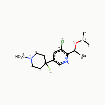 C[SiH](C)OC(c1ncc(C2(F)CCN(C(=O)O)CC2)cc1Cl)C(C)(C)C